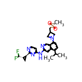 CC(C)c1ccc(N2CC(CS(C)(=O)=O)C2)c2cnc(Nc3ccnc([C@H]4C[C@@H]4C(F)F)n3)cc12